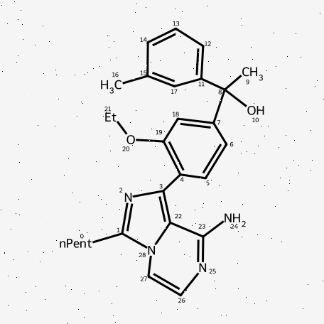 CCCCCc1nc(-c2ccc(C(C)(O)c3cccc(C)c3)cc2OCC)c2c(N)nccn12